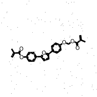 C=C(C)C(=O)OCOc1ccc(-c2ccc(-c3ccc(OC(=O)C(=C)C)cc3)o2)cc1